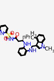 CCC[C@@H](CC(=O)NS(=O)(=O)c1ccccn1)Nc1ccccc1NCc1cn(C)c2cccc(C)c12